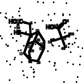 O=C(O)C(F)(F)F.O=C(O)CC1(S)C2CC3CC(C2)CC1C3